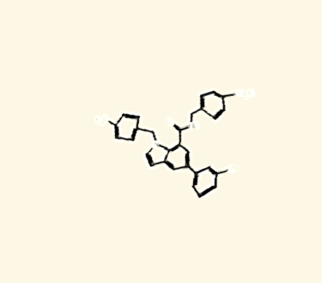 N#Cc1cccc(-c2cc(C(=O)NCc3ccc(C(=O)O)cc3)c3c(ccn3Cc3ccc(C(F)(F)F)cc3)c2)c1